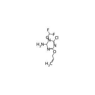 C=CCOC1=NC(N)N(OC(F)F)C(Cl)=N1